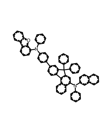 c1ccc(N(c2ccc3ccccc3c2)c2cc3c(c4ccccc24)-c2ccc(-c4ccc(N(c5ccccc5)c5cccc6c5oc5ccccc56)cc4)cc2C3(c2ccccc2)c2ccccc2)cc1